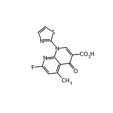 Cc1cc(F)nc2c1c(=O)c(C(=O)O)cn2-c1nccs1